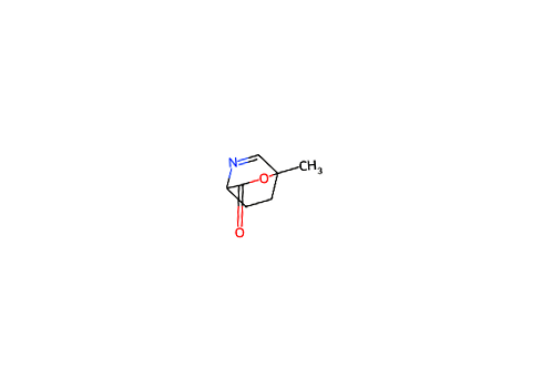 CC12C=NC(CC1)C(=O)O2